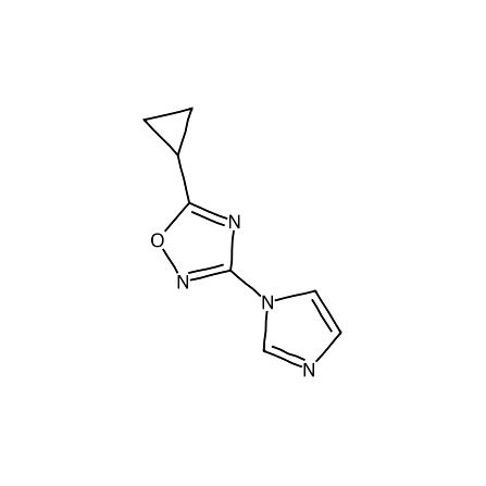 c1cn(-c2noc(C3CC3)n2)cn1